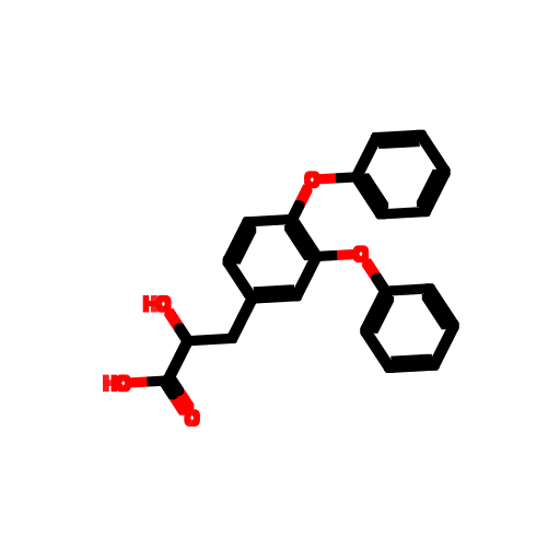 O=C(O)C(O)Cc1ccc(Oc2ccccc2)c(Oc2ccccc2)c1